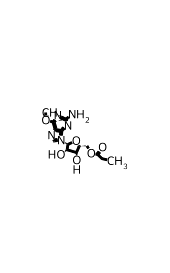 CCC(=O)OC[C@H]1O[C@@H](n2cnc3c(OC)nc(N)nc32)[C@@H](O)[C@@H]1O